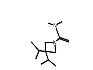 C=C(N(C)C)N1CC(C(C)C)(C(C)C)C1